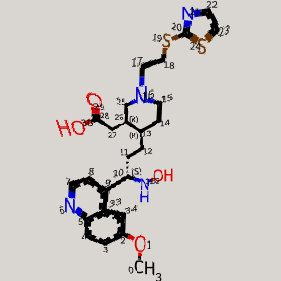 COc1ccc2nccc([C@H](CC[C@@H]3CCN(CCSc4nccs4)C[C@@H]3CC(=O)O)NO)c2c1